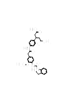 COc1cc(CC(=O)Nc2ccc(C(CC(=O)O)CC(C)C)cc2)ccc1NC(=O)N1CCc2ccccc21